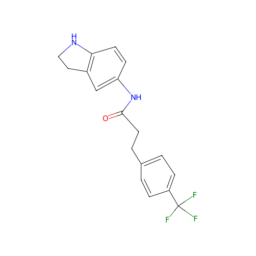 O=C(CCc1ccc(C(F)(F)F)cc1)Nc1ccc2c(c1)CCN2